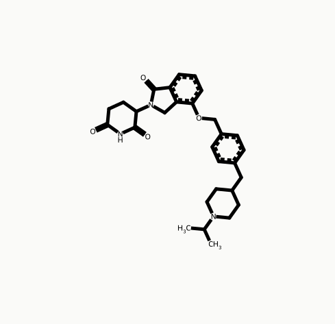 CC(C)N1CCC(Cc2ccc(COc3cccc4c3CN(C3CCC(=O)NC3=O)C4=O)cc2)CC1